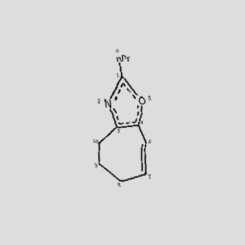 CCCc1nc2c(o1)C=CCCC2